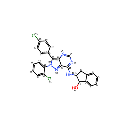 OC1c2ccccc2CC1Nc1ncnc2c(-c3ccc(Cl)cc3)n(-c3ccccc3Cl)nc12